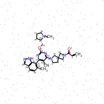 C=CC(=O)N1CC2(CCN(c3nc(OC[C@@H]4CCCN4C)nc(-c4c(C)ccc5cn[nH]c45)c3C#N)C2)C1